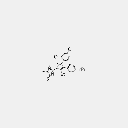 C=C1C(=S)N=C(c2nn(-c3ccc(Cl)cc3Cl)c(-c3ccc(CCC)cc3)c2CC)N1C